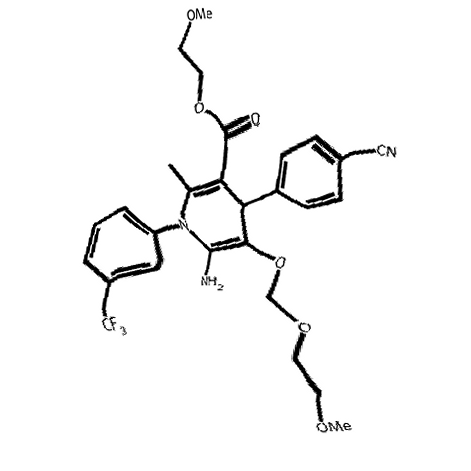 COCCOCOC1=C(N)N(c2cccc(C(F)(F)F)c2)C(C)=C(C(=O)OCCOC)C1c1ccc(C#N)cc1